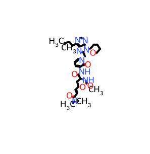 COC(=O)NC(CC/C=C/C(=O)N(C)C)C(=O)Nc1cccn(Cc2nc3c(CCC(C)C)ncnc3n2C2CCCCO2)c1=O